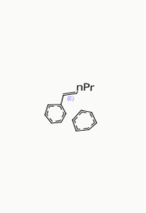 CCC/C=C/c1ccccc1.c1ccccc1